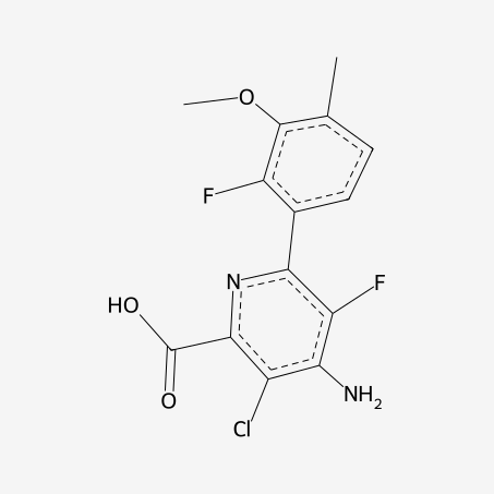 COc1c(C)ccc(-c2nc(C(=O)O)c(Cl)c(N)c2F)c1F